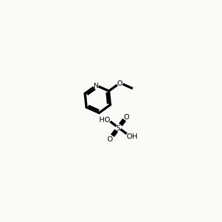 COc1ccccn1.O=S(=O)(O)O